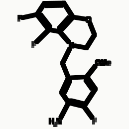 COc1cc(F)c(N)cc1CN1CCOc2ccc(F)c(F)c21